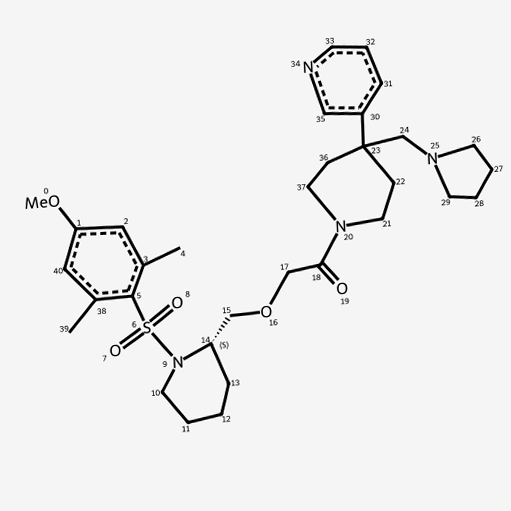 COc1cc(C)c(S(=O)(=O)N2CCCC[C@H]2COCC(=O)N2CCC(CN3CCCC3)(c3cccnc3)CC2)c(C)c1